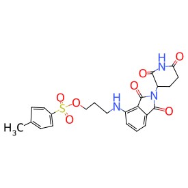 Cc1ccc(S(=O)(=O)OCCCNc2cccc3c2C(=O)N(C2CCC(=O)NC2=O)C3=O)cc1